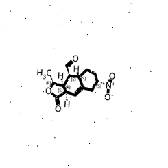 C[C@H]1OC(=O)[C@@H]2C=C3C[C@@H]([N+](=O)[O-])CC[C@H]3[C@H](C=O)[C@H]12